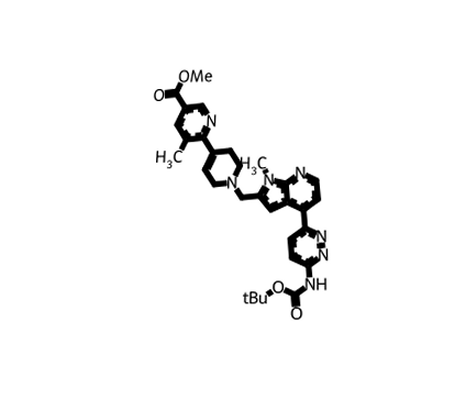 COC(=O)c1cnc(C2=CCN(Cc3cc4c(-c5ccc(NC(=O)OC(C)(C)C)nn5)ccnc4n3C)CC2)c(C)c1